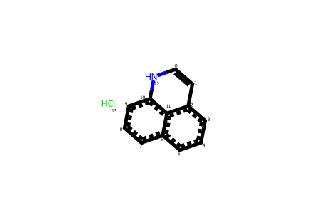 C1=Cc2cccc3cccc(c23)N1.Cl